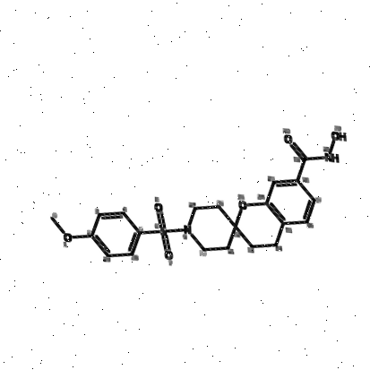 COc1ccc(S(=O)(=O)N2CCC3(CCc4ccc(C(=O)NO)cc4O3)CC2)cc1